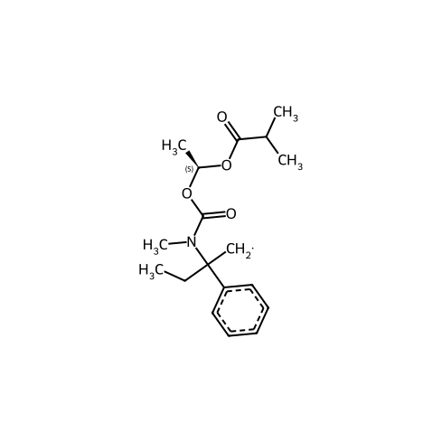 [CH2]C(CC)(c1ccccc1)N(C)C(=O)O[C@@H](C)OC(=O)C(C)C